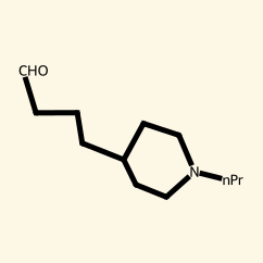 CCCN1CCC(CCCC=O)CC1